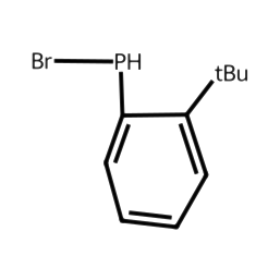 CC(C)(C)c1ccccc1PBr